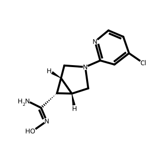 N/C(=N\O)[C@@H]1[C@@H]2CN(c3cc(Cl)ccn3)C[C@@H]21